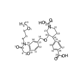 COCCCN1C(=O)COc2ccc(COC3CN(C(=O)O)CCC3c3ccc(C(=O)O)cc3)cc21